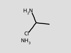 CC(N)Cl.N